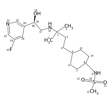 CC(C)(CCC1CCC(NS(C)(=O)=O)CC1)NC[C@H](O)c1cncc(F)c1